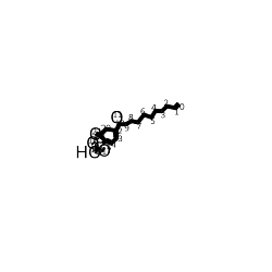 C=CCCCCCCCCC(=O)C1=CC=C(S(=O)(=O)O)C(=O)C1